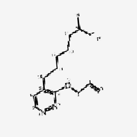 C=CCOc1nnccc1CCCCCC(C)F